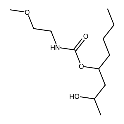 CCCCC(CC(C)O)OC(=O)NCCOC